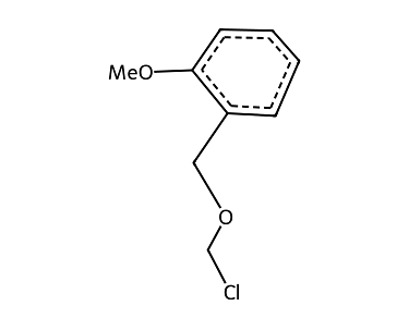 COc1ccccc1COCCl